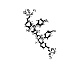 CCO[Si](CCc1ccc(Nc2nc(-c3nc(Nc4ccc(CC[Si](OCC)(OCC)OCC)cc4)c(Nc4ccc(C(C)(C)C)cc4)[nH]3)[nH]c2Nc2ccc(C(C)(C)C)cc2)cc1)(OCC)OCC